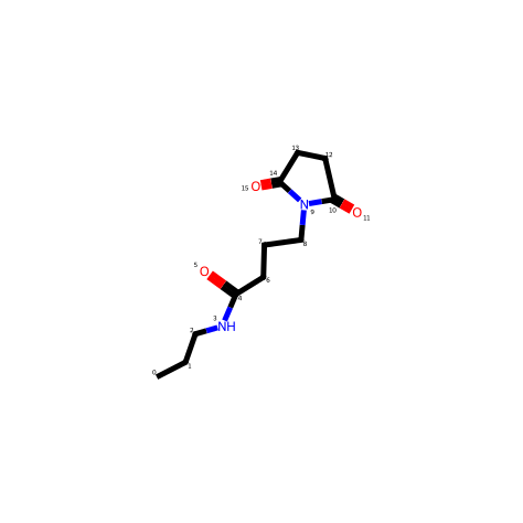 CCCNC(=O)CCCN1C(=O)CCC1=O